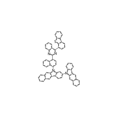 c1ccc2cc3c(cc2c1)c1ccccc1n3-c1ccc2c3cc4ccccc4cc3n(-c3ccc(-c4nc(-c5cccc6c5sc5ccccc56)c5ccccc5n4)c4ccccc34)c2c1